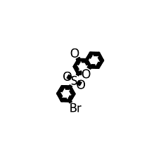 O=c1cc(S(=O)(=O)c2cccc(Br)c2)oc2ccccc12